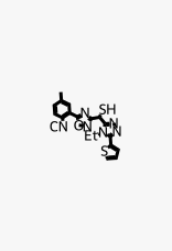 CCn1c(-c2cccs2)nnc1C(S)c1noc(-c2cc(C)ccc2C#N)n1